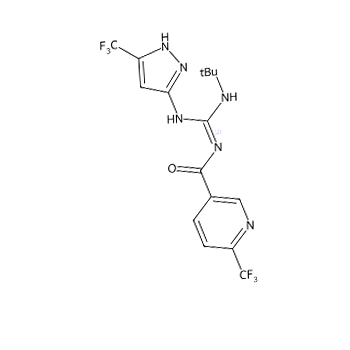 CC(C)(C)N/C(=N/C(=O)c1ccc(C(F)(F)F)nc1)Nc1cc(C(F)(F)F)[nH]n1